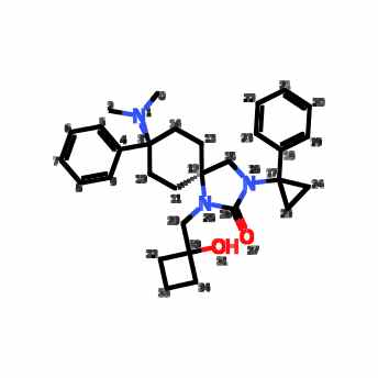 CN(C)[C@]1(c2ccccc2)CC[C@]2(CC1)CN(C1(c3ccccc3)CC1)C(=O)N2CC1(O)CCC1